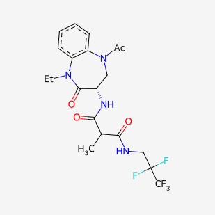 CCN1C(=O)[C@@H](NC(=O)C(C)C(=O)NCC(F)(F)C(F)(F)F)CN(C(C)=O)c2ccccc21